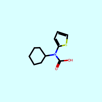 O=C(O)N(c1cccs1)C1CCCCC1